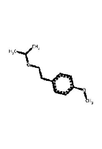 COc1ccc(CCOC(C)C)cc1